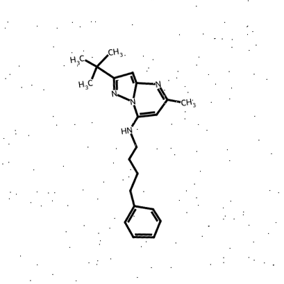 Cc1cc(NCCCCc2ccccc2)n2nc(C(C)(C)C)cc2n1